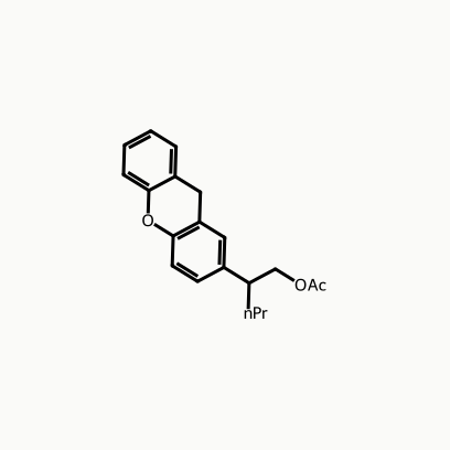 CCCC(COC(C)=O)c1ccc2c(c1)Cc1ccccc1O2